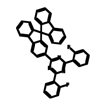 Fc1ccccc1-c1nc(-c2ccc3c(c2)C2(c4ccccc4-c4ccccc42)c2ccccc2-3)nc(-c2ccccc2F)n1